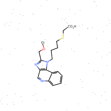 CCOCc1nc2cnc3ccccc3c2n1CCCCSCC(=O)O